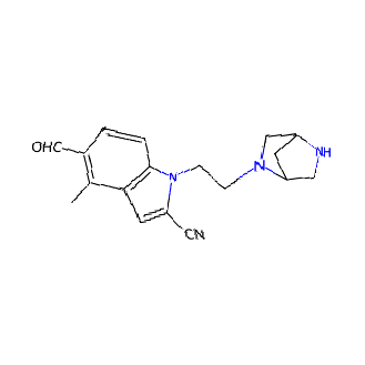 Cc1c(C=O)ccc2c1cc(C#N)n2CCN1CC2CC1CN2